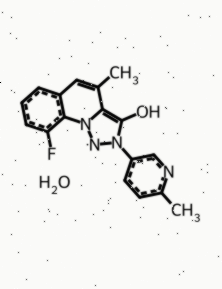 CC1=Cc2cccc(F)c2N2[N]N(c3ccc(C)nc3)C(O)=C12.O